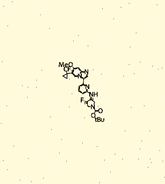 COc1cc2ncc(-c3cccc(N[C@H]4CN(C(=O)OC(C)(C)C)C[C@@H]4F)n3)n2cc1C1(C(F)(F)F)CC1